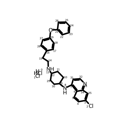 Cl.Cl.Clc1ccc2c(NC3CCC(NCCc4ccc(Oc5ccccc5)cc4)CC3)ccnc2c1